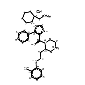 COC[C@]1(O)CCCC[C@H]1n1cnc(C(=O)N2CCNC[C@H]2CCOc2ccccc2Cl)c1-c1ccccc1